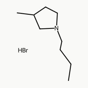 Br.CCCCN1CCC(C)C1